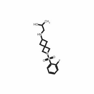 CC(O)CNC1CC2(C1)CN(S(=O)(=O)c1ccccc1F)C2